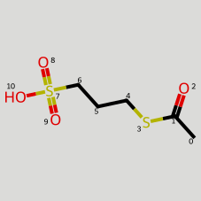 CC(=O)SCCCS(=O)(=O)O